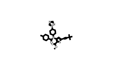 COC(=O)c1sc(C#CC(C)(C)C)cc1N(C(=O)C1CCC(C)CC1)C1CCC(n2cncn2)CC1